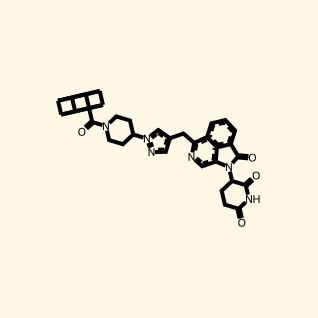 O=C1CCC(N2C(=O)c3cccc4c(Cc5cnn(C6CCN(C(=O)C78C9C%10C%11C9C7C%11C%108)CC6)c5)ncc2c34)C(=O)N1